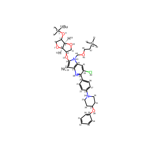 CC(C)(C)[Si](C)(C)OC1CO[C@H]2[C@@H]1OC[C@H]2Oc1c(C#N)c2nc(-c3ccc(N4CCC(Oc5ccccc5)CC4)cc3)c(Cl)cc2n1COCC[Si](C)(C)C